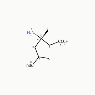 CCCCC(C)C[C@](C)(N)CC(=O)O